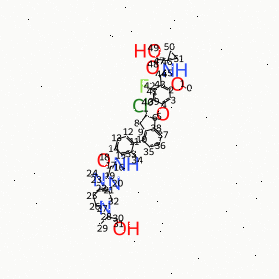 COc1cc(OC2CCc3c(-c4cccc(NC(=O)c5nc6c(n5C)CCN(C(C)CO)C6)c4C)cccc32)c(Cl)c(F)c1CNC1(C(=O)O)CC1